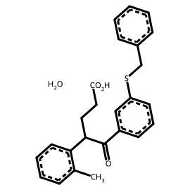 Cc1ccccc1C(CCC(=O)O)C(=O)c1cccc(SCc2ccccc2)c1.O